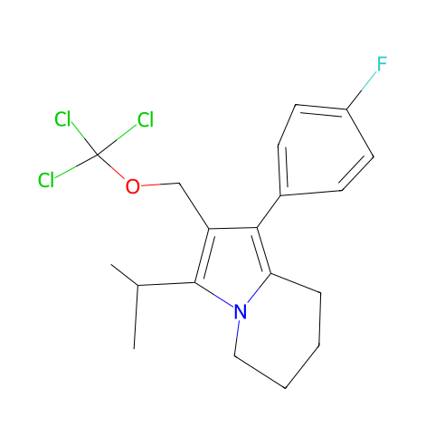 CC(C)c1c(COC(Cl)(Cl)Cl)c(-c2ccc(F)cc2)c2n1CCCC2